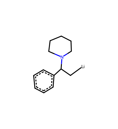 [Li][CH2]C(c1ccccc1)N1CCCCC1